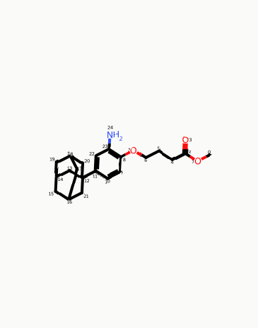 COC(=O)CCCOc1ccc(C23CC4CC(CC(C4)C2)C3)cc1N